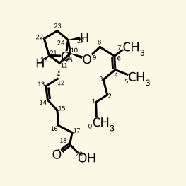 CCCCC(C)=C(C)CO[C@H]1[C@H](C/C=C\CCCC(=O)O)[C@@H]2CC[C@H]1O2